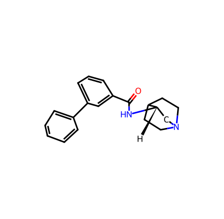 O=C(N[C@H]1CN2CCC1CC2)c1cccc(-c2ccccc2)c1